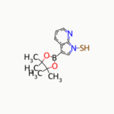 CC1(C)OB(c2cn(S)c3ncccc23)OC1(C)C